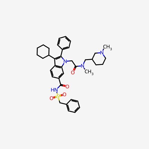 CN1CCCC(CN(C)C(=O)Cn2c(-c3ccccc3)c(C3CCCCC3)c3ccc(C(=O)NS(=O)(=O)Cc4ccccc4)cc32)C1